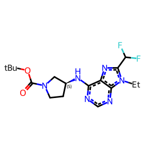 CCn1c(C(F)F)nc2c(N[C@H]3CCN(C(=O)OC(C)(C)C)C3)ncnc21